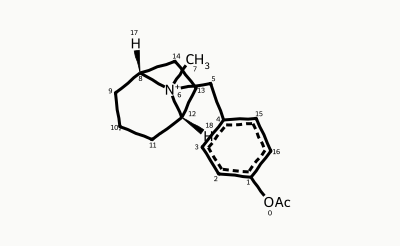 CC(=O)Oc1ccc(C[N+]2(C)[C@@H]3C[CH]C[C@H]2CC3)cc1